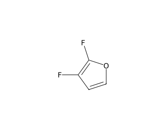 Fc1ccoc1F